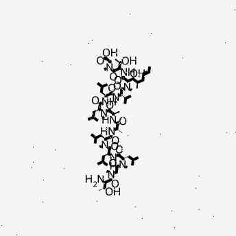 C/C=C/C[C@@H](C)[C@@H](O)[C@@H](C(=O)N[C@H](C(=O)N(C)CC(=O)O)[C@@H](C)O)N(C)C(=O)[C@H](C(C)C)N(C)C(=O)[C@H](CC(C)C)NC(=O)[C@H](CC(C)C)N(C)C(=O)[C@@H](C)NC(=O)[C@H](C)NC(=O)[C@H](CC(C)C)N(C)C(=O)[C@H](CC(C)C)NC(=O)[C@H](CC(C)C)N(C)C(=O)CN(C)C(=O)[C@@H](N)[C@@H](C)O